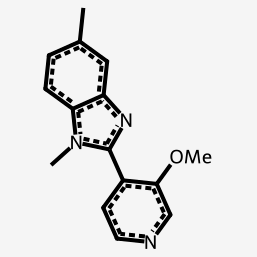 COc1cnccc1-c1nc2cc(C)ccc2n1C